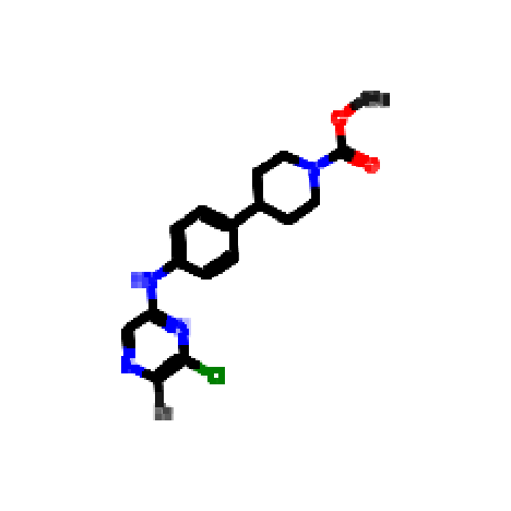 CCc1ncc(Nc2ccc(C3CCN(C(=O)OC(C)(C)C)CC3)cc2)nc1Cl